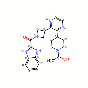 CC(O)N1CCC(c2nccnc2C2CN(C(=O)c3nc4ccccc4[nH]3)C2)CC1